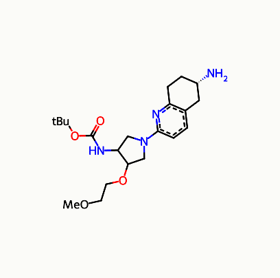 COCCOC1CN(c2ccc3c(n2)CC[C@H](N)C3)CC1NC(=O)OC(C)(C)C